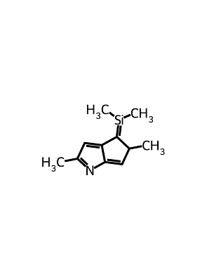 CC1=NC2=CC(C)C(=[Si](C)C)C2=C1